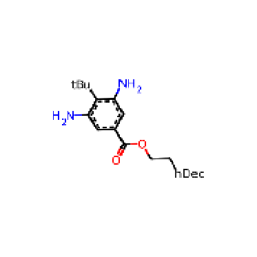 CCCCCCCCCCCCOC(=O)c1cc(N)c(C(C)(C)C)c(N)c1